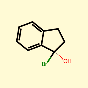 O[C@@]1(Br)CCc2ccccc21